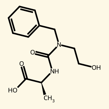 C[C@H](NC(=O)N(CCO)Cc1ccccc1)C(=O)O